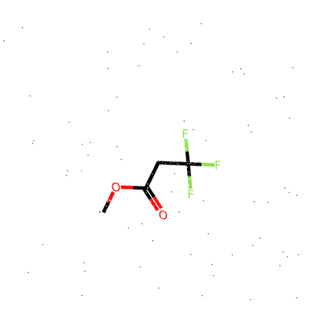 [CH2]OC(=O)CC(F)(F)F